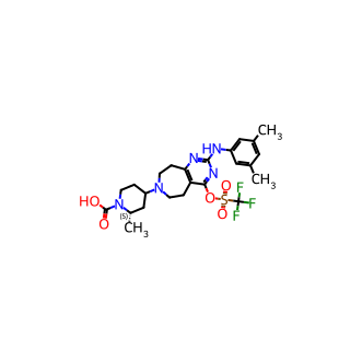 Cc1cc(C)cc(Nc2nc3c(c(OS(=O)(=O)C(F)(F)F)n2)CCN(C2CCN(C(=O)O)[C@@H](C)C2)CC3)c1